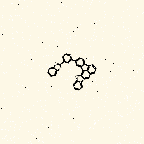 c1cc(-c2ccc3c(c2)-c2c4oc5ccccc5c4cc4cccc-3c24)cc(-c2nc3ccccc3o2)c1